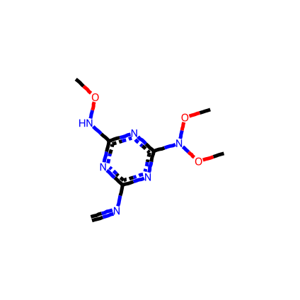 C=Nc1nc(NOC)nc(N(OC)OC)n1